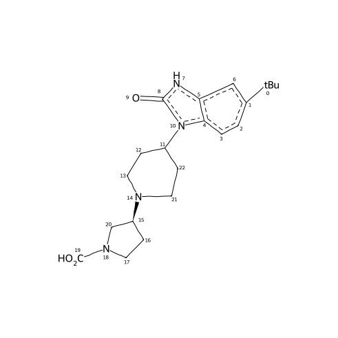 CC(C)(C)c1ccc2c(c1)[nH]c(=O)n2C1CCN([C@H]2CCN(C(=O)O)C2)CC1